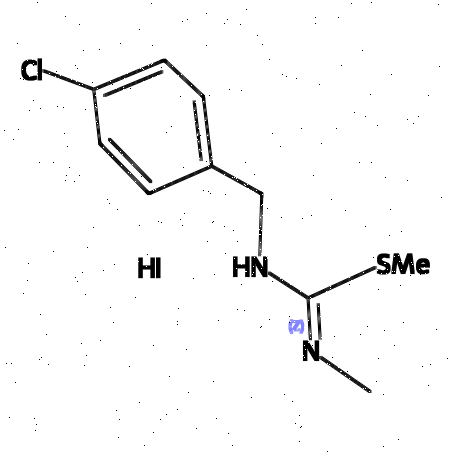 C/N=C(/NCc1ccc(Cl)cc1)SC.I